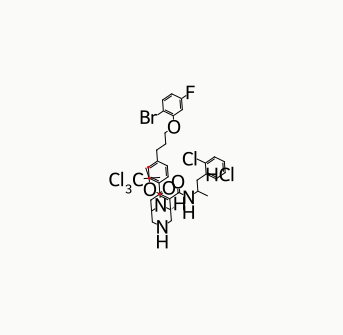 CC(Cc1ccccc1Cl)NC(=O)C1=C(c2ccc(CCCOc3cc(F)ccc3Br)cc2)CC2CNC[C@H]1N2C(=O)OC(C)(C)C(Cl)(Cl)Cl.Cl